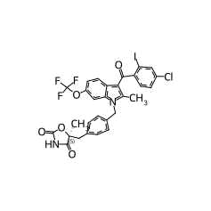 Cc1c(C(=O)c2ccc(Cl)cc2I)c2ccc(OC(F)(F)F)cc2n1Cc1ccc(C[C@]2(C)OC(=O)NC2=O)cc1